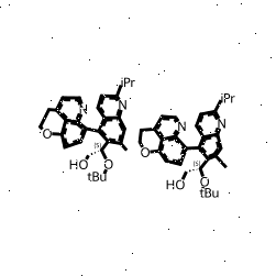 Cc1cc2nc(C(C)C)ccc2c(-c2ccc3c4c(ccnc24)CCO3)c1[C@@H](CO)OC(C)(C)C.Cc1cc2nc(C(C)C)ccc2c(-c2ccc3c4c(ccnc24)CCO3)c1[C@@H](CO)OC(C)(C)C